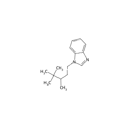 CC(CCn1cnc2ccccc21)C(C)(C)C